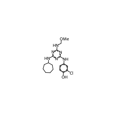 COCNc1nc(Nc2ccc(O)c(Cl)c2)nc(NC2CCCCCC2)n1